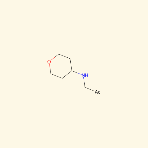 CC(=O)CNC1CCOCC1